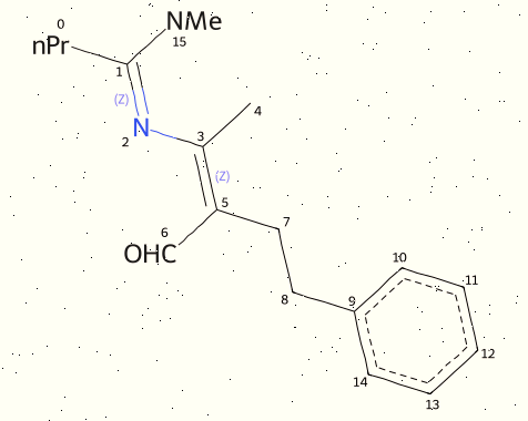 CCC/C(=N/C(C)=C(\C=O)CCc1ccccc1)NC